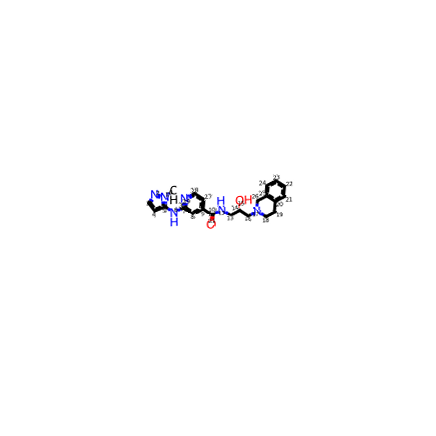 Cn1nccc1Nc1cc(C(=O)NC[C@H](O)CN2CCc3ccccc3C2)ccn1